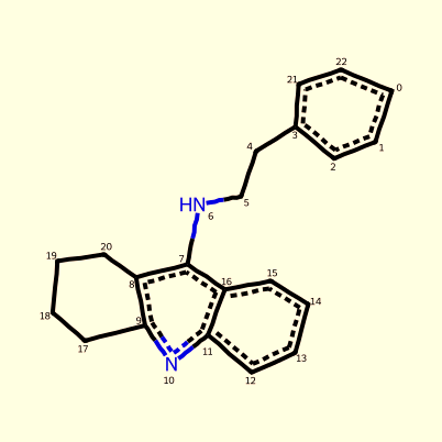 c1ccc(CCNc2c3c(nc4ccccc24)CCCC3)cc1